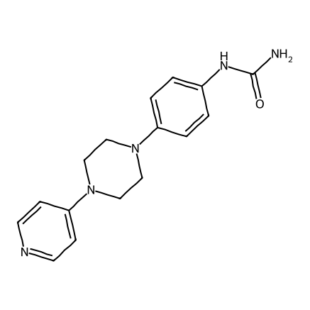 NC(=O)Nc1ccc(N2CCN(c3ccncc3)CC2)cc1